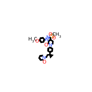 COc1ccc(-n2nc(S(C)(=O)=O)c3c2C(=O)N(c2ccc(C4(CCn5ccccc5=O)CC4)cc2)CC3)cc1